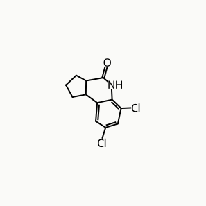 O=C1Nc2c(Cl)cc(Cl)cc2C2CCCC12